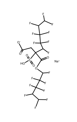 O=C([O-])CC(C(=O)OC(F)C(F)(F)C(F)(F)C(F)C(F)F)(C(F)C(F)(F)C(F)(F)C(F)C(F)F)S(=O)(=O)O.[Na+]